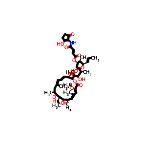 C/C=C/[C@H]1O[C@@](O)([C@@H](C)[C@H](O)[C@H](C)[C@H]2OC(=O)/C(OC)=C/C(C)=C/[C@@H](C)[C@@H](O)[C@@H](CC)[C@@H](O)[C@H](C)C/C(C)=C/C=C/[C@@H]2O)C[C@@H](OC(=O)/C=C/C(=O)NC2=C(O)CCC2=O)[C@@H]1C